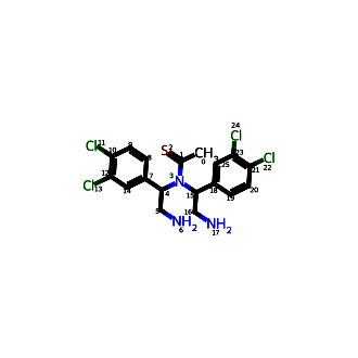 CC(=S)N(C(CN)c1ccc(Cl)c(Cl)c1)C(CN)c1ccc(Cl)c(Cl)c1